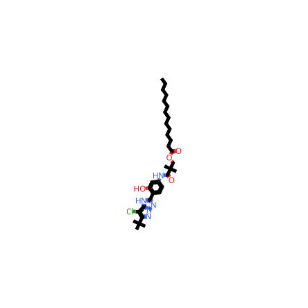 CCCCCCCCCCCCCC(=O)OCC(C)(C)C(=O)Nc1ccc(-c2nn3nc(C(C)(C)C)c(Cl)c3[nH]2)c(O)c1